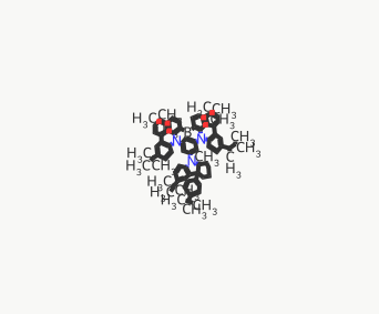 CC(C)C(C)c1ccc(N2c3cc(C(C)(C)C)ccc3B3c4ccc(C(C)(C)C)cc4N(c4ccc(C(C)(C)C)cc4-c4ccccc4)c4cc(N5c6ccc(C(C)(C)C)cc6C6(c7ccc(C(C)(C)C)cc7)CCCCC56C)cc2c43)c(-c2ccccc2)c1